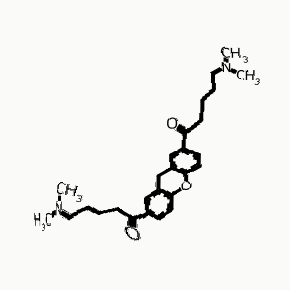 CN(C)CCCCC(=O)c1ccc2c(c1)Cc1cc(C(=O)CCCCN(C)C)ccc1O2